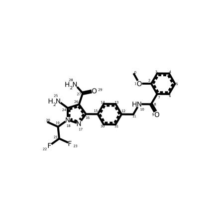 COc1ccccc1C(=O)NCc1ccc(-c2nn(C(C)C(F)F)c(N)c2C(N)=O)cc1